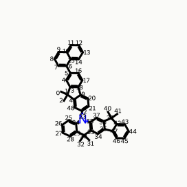 CC1(C)c2cc(-c3cccc4ccccc34)ccc2-c2ccc(N3c4ccccc4C(C)(C)c4cc5c(cc43)C(C)(C)c3ccccc3-5)cc21